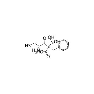 N[C@@H](CS)C(=O)[C@](Cc1ccccc1)(C(=O)O)N(O)O